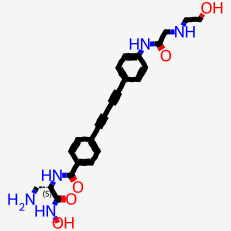 NC[C@H](NC(=O)c1ccc(C#CC#Cc2ccc(NC(=O)CNCCO)cc2)cc1)C(=O)NO